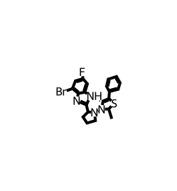 CC1SC(c2ccccc2)=[C]N1N1CCCC1c1nc2c(Br)cc(F)cc2[nH]1